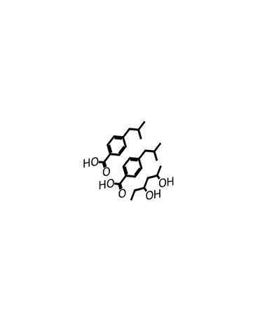 CC(C)Cc1ccc(C(=O)O)cc1.CC(C)Cc1ccc(C(=O)O)cc1.CCC(O)CC(C)O